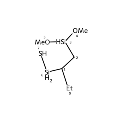 CCC(C[SiH](OC)OC)[SiH2]S